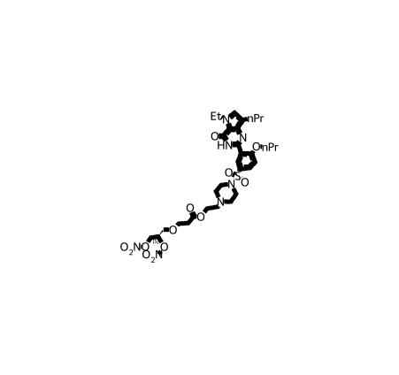 CCCOc1ccc(S(=O)(=O)N2CCN(CCOC(=O)CCOC[C@@H](CO[N+](=O)[O-])O[N+](=O)[O-])CC2)cc1-c1nc2c(CCC)cn(CC)c2c(=O)[nH]1